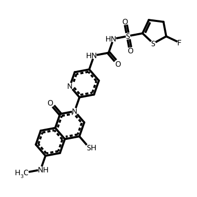 CNc1ccc2c(=O)n(-c3ccc(NC(=O)NS(=O)(=O)C4=CCC(F)S4)cn3)cc(S)c2c1